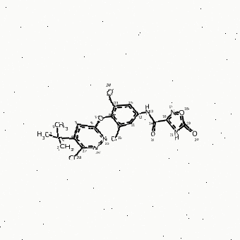 CC(C)(C)c1cc(Oc2c(Cl)cc(NC(=O)c3noc(=O)[nH]3)cc2Cl)nnc1Cl